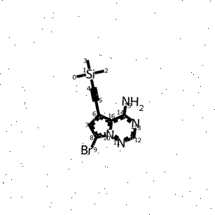 C[Si](C)(C)C#Cc1cc(Br)n2ncnc(N)c12